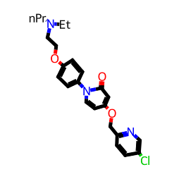 CCCN(CC)CCOc1ccc(-n2ccc(OCc3ccc(Cl)cn3)cc2=O)cc1